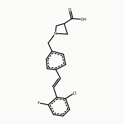 O=C(O)C1CN(Cc2ccc(/C=C/c3c(F)cccc3Cl)cc2)C1